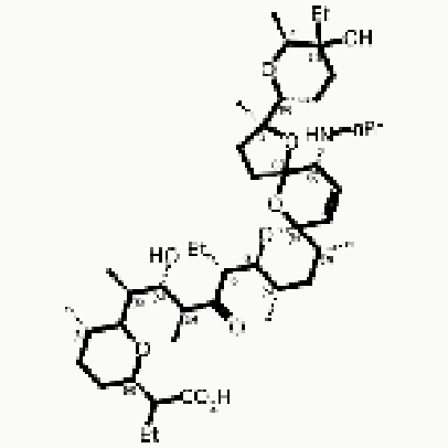 CCCN[C@@H]1C=C[C@]2(O[C@H]([C@@H](CC)C(=O)[C@@H](C)[C@@H](O)[C@H](C)C3O[C@@H](C(CC)C(=O)O)CC[C@@H]3C)[C@@H](C)C[C@H]2C)O[C@@]12CC[C@@](C)([C@H]1CC[C@](O)(CC)[C@H](C)O1)O2